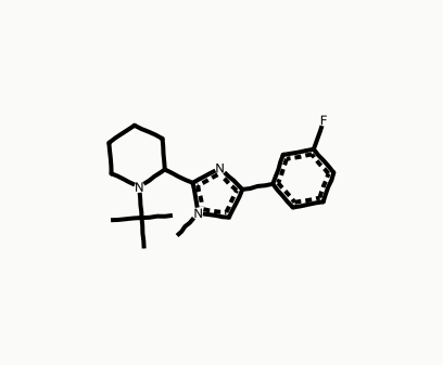 Cn1cc(-c2cccc(F)c2)nc1C1CCCCN1C(C)(C)C